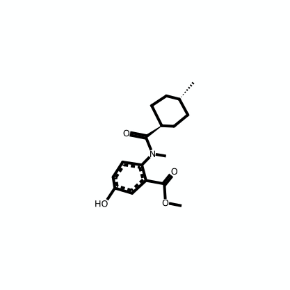 COC(=O)c1cc(O)ccc1N(C)C(=O)[C@H]1CC[C@H](C)CC1